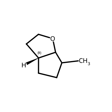 CC1CC[C@@H]2CCOC12